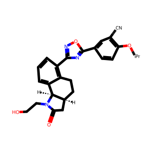 CC(C)Oc1ccc(-c2nc(-c3cccc4c3CC[C@H]3CC(=O)N(CCO)[C@@H]43)no2)cc1C#N